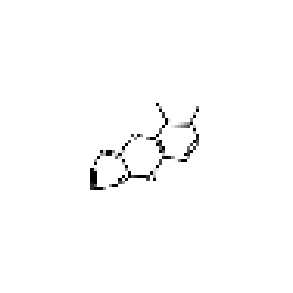 Cc1ccc2c(c1C)Sc1ccccc1O2